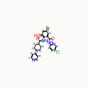 O=C(Nc1ccc(Cl)cn1)c1cc(Br)cc(O)c1NC(=O)C1CCN(c2ccncc2)CC1